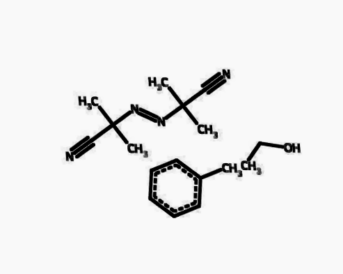 CC(C)(C#N)/N=N/C(C)(C)C#N.CCO.Cc1ccccc1